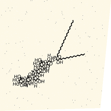 CCCCCCCCCCCCC/C=C/[C@@H](O)[C@H](CO[C@@H]1OC(CO)[C@@H](O[C@@H]2OC(CO)[C@H](O)[C@H](O[C@@H]3OC(CO)[C@@H](O)[C@H](O[C@@H]4OC(CO)[C@H](O)[C@H](O[C@@H]5OC(CO)[C@@H](O)[C@H](O[C@@H]6OC(CO)[C@H](O)[C@H](O)C6O)C5NC(C)=O)C4O)C3NC(C)=O)C2O)[C@H](O)C1O)NC(=O)CCCCCCCCCCCCCCCCCCCCC